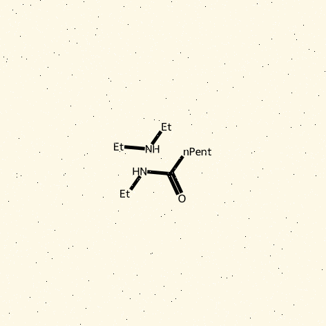 CCCCCC(=O)NCC.CCNCC